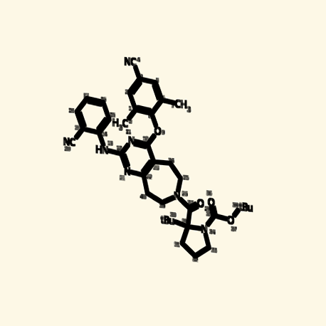 Cc1cc(C#N)cc(C)c1Oc1nc(Nc2ccccc2C#N)nc2c1CCN(C(=O)C1(C(C)(C)C)CCCN1C(=O)OC(C)(C)C)CC2